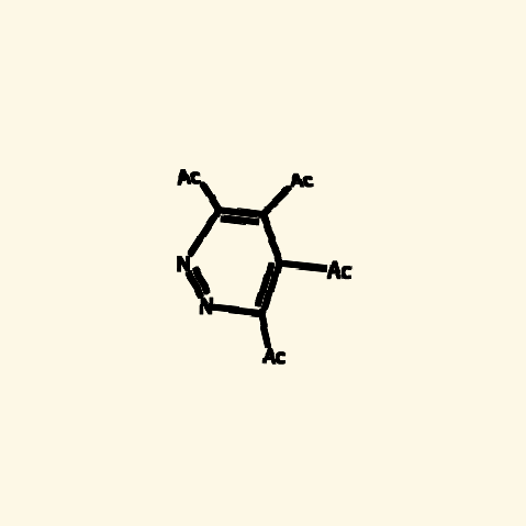 CC(=O)c1nnc(C(C)=O)c(C(C)=O)c1C(C)=O